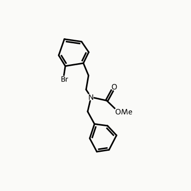 COC(=O)N(CCc1ccccc1Br)Cc1ccccc1